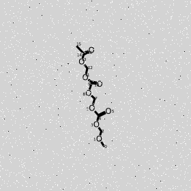 COCOC(=O)OCOC(=O)OCOC(C)=O